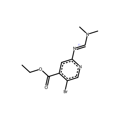 CCOC(=O)c1cc(/N=C/N(C)C)ncc1Br